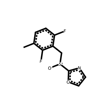 Cc1ccc(F)c(C[S+]([O-])c2ncco2)c1F